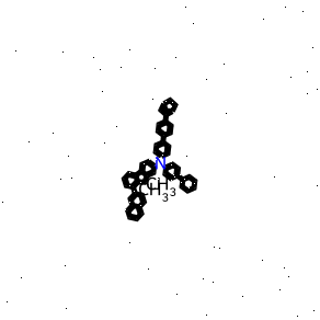 CC1(C)c2cc(N(c3ccc(-c4ccc(C5CC6CCC5C6)cc4)cc3)c3ccc(C4CCCCC4)cc3)ccc2-c2cccc(-c3ccc4ccccc4c3)c21